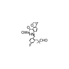 COC(=O)c1c(NSc2ccc(F)cc2CC(C)(C)C=O)ccc2c1OCC1CC21